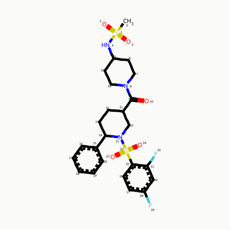 CS(=O)(=O)NC1CCN(C(=O)C2CCC(c3ccccc3)N(S(=O)(=O)c3ccc(F)cc3F)C2)CC1